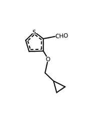 O=Cc1sccc1OCC1CC1